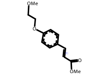 COCCOc1ccc(/C=C/C(=O)OC)cc1